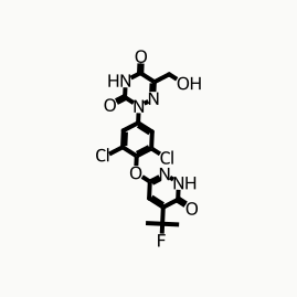 CC(C)(F)c1cc(Oc2c(Cl)cc(-n3nc(CO)c(=O)[nH]c3=O)cc2Cl)n[nH]c1=O